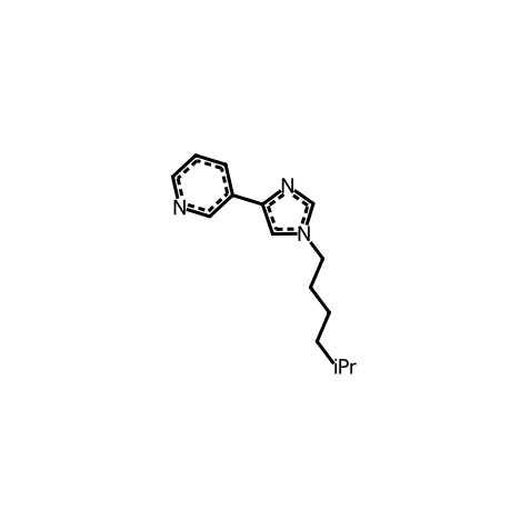 CC(C)CCCCn1cnc(-c2cccnc2)c1